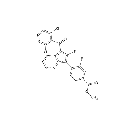 COC(=O)c1ccc(-c2c(F)c(C(=O)c3c(Cl)cccc3Cl)n3ccccc23)c(F)c1